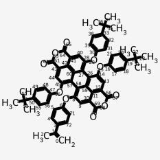 C=C(C)c1ccc(Oc2cc3c4c(cc(Oc5ccc(C(C)(C)C)cc5)c5c6c(Oc7ccc(C(C)(C)C)cc7)cc7c8c(cc(Oc9ccc(C(C)(C)C)cc9)c(c2c45)c86)C(=O)OC7=O)C(=O)OC3=O)cc1